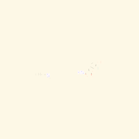 CCCCCCN(CCCCCCCCCCCCNC(=O)c1cc2cc(F)c(O)c(F)c2oc1=O)C(=O)O